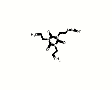 C=CCn1c(=O)n(CC=C)c(=O)n(CCN=[N+]=[N-])c1=O